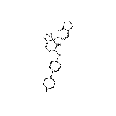 CC1=CN=C(Nc2ccc(N3CCN(C)CC3)cc2)NC1(N)c1ccc2c(c1)CCC2